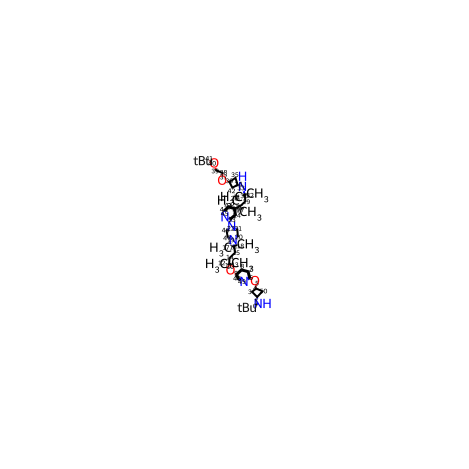 CC(C)(C)N[C@H]1C[C@@H](Oc2ccc(OC(C)(C)CCC(C)(C)N3CCN(c4cc(C(C)(C)CC(C)(C)N[C@H]5C[C@@H](OCCOC(C)(C)C)C5)ccn4)CC3)cn2)C1